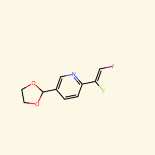 F/C(=C\I)c1ccc(C2OCCO2)cn1